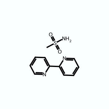 CS(N)(=O)=O.c1ccc(-c2ccccn2)nc1